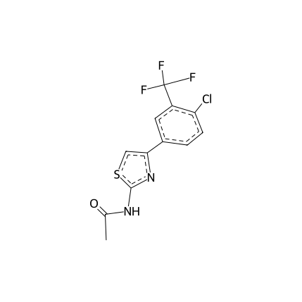 CC(=O)Nc1nc(-c2ccc(Cl)c(C(F)(F)F)c2)cs1